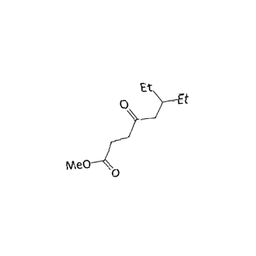 CCC(CC)CC(=O)CCC(=O)OC